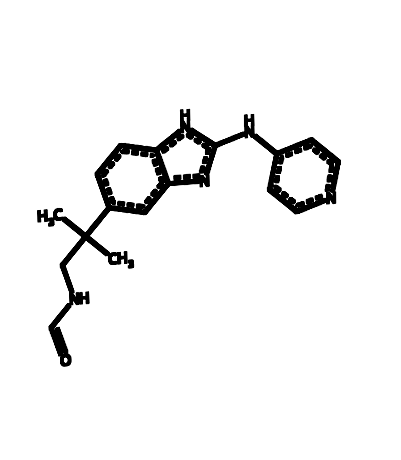 CC(C)(CNC=O)c1ccc2[nH]c(Nc3ccncc3)nc2c1